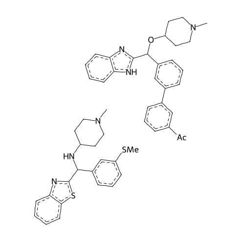 CC(=O)c1cccc(-c2cccc(C(OC3CCN(C)CC3)c3nc4ccccc4[nH]3)c2)c1.CSc1cccc(C(NC2CCN(C)CC2)c2nc3ccccc3s2)c1